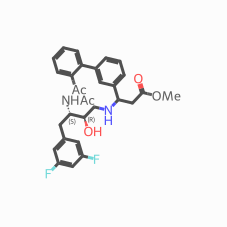 COC(=O)CC(NC[C@@H](O)[C@H](Cc1cc(F)cc(F)c1)NC(C)=O)c1cccc(-c2ccccc2C(C)=O)c1